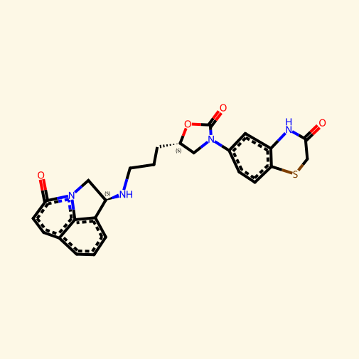 O=C1CSc2ccc(N3C[C@H](CCCN[C@@H]4Cn5c(=O)ccc6cccc4c65)OC3=O)cc2N1